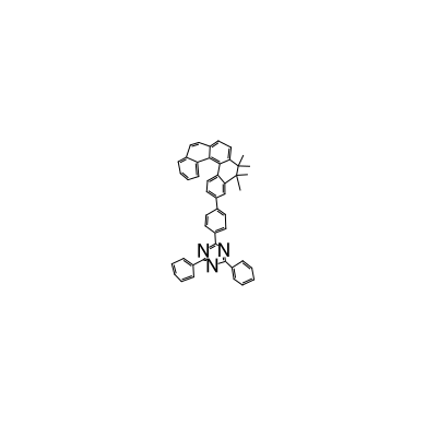 CC1(C)c2cc(-c3ccc(-c4nc(-c5ccccc5)nc(-c5ccccc5)n4)cc3)ccc2-c2c(ccc3ccc4ccccc4c23)C1(C)C